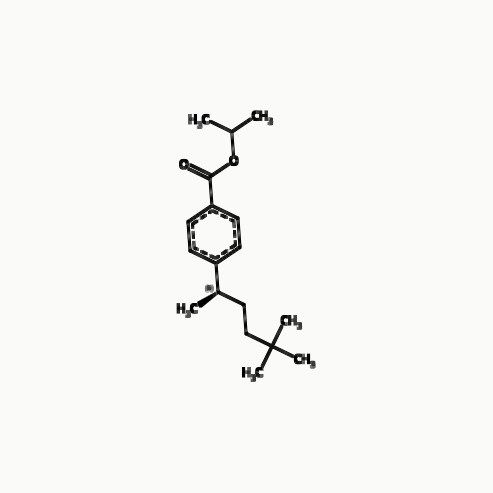 CC(C)OC(=O)c1ccc([C@H](C)CCC(C)(C)C)cc1